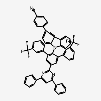 N#Cc1ccc(-c2ccc3c(c2)c2ccccc2n3-c2c(-c3cccc(C(F)(F)F)c3)cc(-c3nc(-c4ccccc4)cc(-c4ccccc4)n3)cc2-c2cccc(C(F)(F)F)c2)cc1